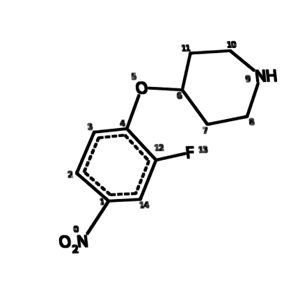 O=[N+]([O-])c1ccc(OC2CCNCC2)c(F)c1